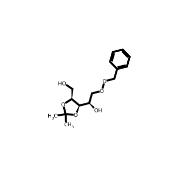 CC1(C)O[C@H]([C@H](O)COOCc2ccccc2)[C@H](CO)O1